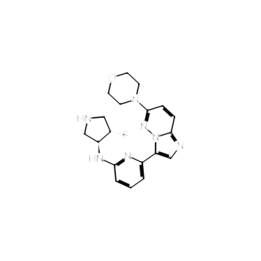 F[C@H]1CNC[C@@H]1Nc1cccc(-c2cnc3ccc(N4CCOCC4)nn23)n1